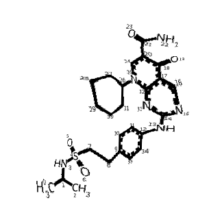 CC(C)NS(=O)(=O)CCc1ccc(Nc2ncc3c(=O)c(C(N)=O)cn(C4CCCCC4)c3n2)cc1